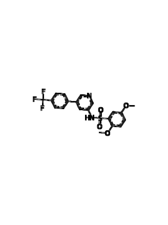 COc1ccc(OC)c(S(=O)(=O)Nc2cncc(-c3ccc(C(F)(F)F)cc3)c2)c1